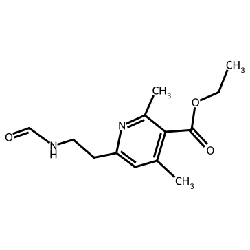 CCOC(=O)c1c(C)cc(CCNC=O)nc1C